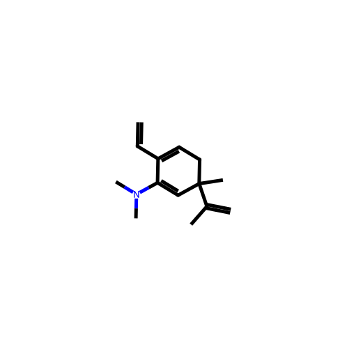 C=CC1=CCC(C)(C(=C)C)C=C1N(C)C